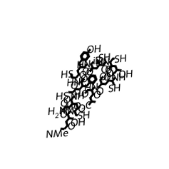 CCC(C)C(NC(=O)C(CC(=O)C(CS)NC(=O)C(CC(=O)C(CS)NC(=O)C(CC(N)=O)CC(=O)C(CS)NC(=O)C(CO)CC(=O)C(C)NC)Cc1ccccc1)Cc1ccc(O)cc1)C(=O)CC(CS)C(=O)NC(CS)C(=O)CC(CO)C(=O)NC(CS)C(=O)CC(CO)C(=O)NC(CO)C(=O)CC(C)C(=O)O